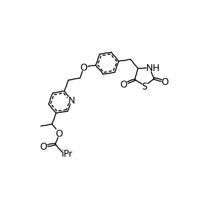 CC(C)C(=O)OC(C)c1ccc(CCOc2ccc(CC3NC(=O)SC3=O)cc2)nc1